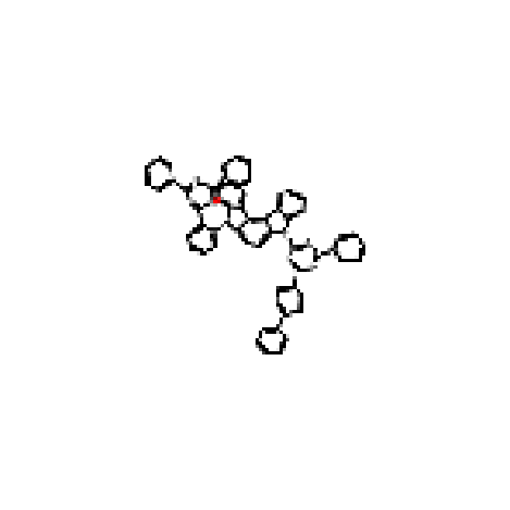 c1ccc(-c2ccc(-c3nc(-c4ccccc4)nc(-n4c5ccccc5c5c6c7ccccc7n(-c7ccccc7-c7nc(-c8ccccc8)nc(-c8ccccc8)n7)c6ccc54)n3)cc2)cc1